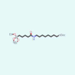 CCCCCCCCCCCCCCCCCCNC(=O)CCCC[Si](OCC)(OCC)OCC